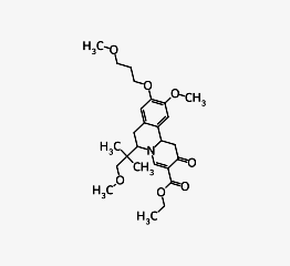 CCOC(=O)C1=CN2C(CC1=O)c1cc(OC)c(OCCCOC)cc1CC2C(C)(C)COC